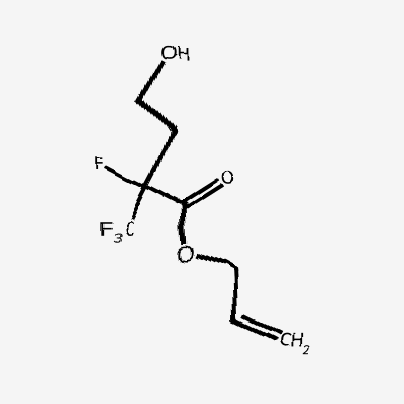 C=CCOC(=O)C(F)(CCO)C(F)(F)F